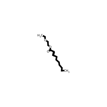 CCCCCCCC=CC(=O)OCCOCC